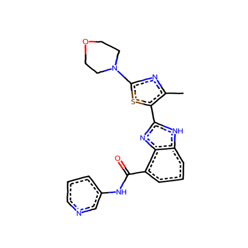 Cc1nc(N2CCOCC2)sc1-c1nc2c(C(=O)Nc3cccnc3)cccc2[nH]1